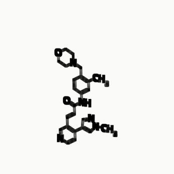 Cc1cc(NC(=O)C=Cc2cnccc2-c2cnn(C)c2)ccc1CN1CCOCC1